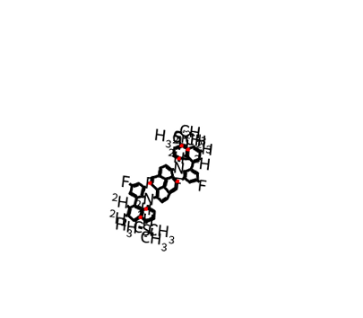 [2H]c1c([2H])c([2H])c(-c2cc(F)cc(F)c2N(c2ccc([Si](C)(C)C)cc2)c2ccc3ccc4c(N(c5ccc([Si](C)(C)C)cc5)c5c(F)cc(F)cc5-c5c([2H])c([2H])c([2H])c([2H])c5[2H])ccc5ccc2c3c54)c([2H])c1[2H]